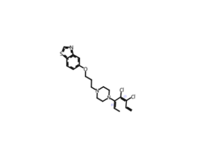 C=C/C(Cl)=C(Cl)\C(=C/C)N1CCN(CCCOc2ccc3scnc3c2)CC1